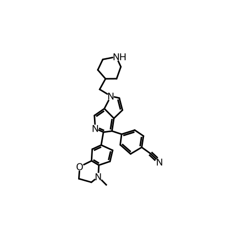 CN1CCOc2cc(-c3ncc4c(ccn4CC4CCNCC4)c3-c3ccc(C#N)cc3)ccc21